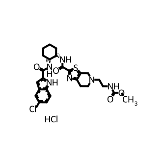 COC(=O)NCCN1CCc2nc(C(=O)N[C@H]3CCCC[C@H]3NC(=O)c3cc4cc(Cl)ccc4[nH]3)sc2C1.Cl